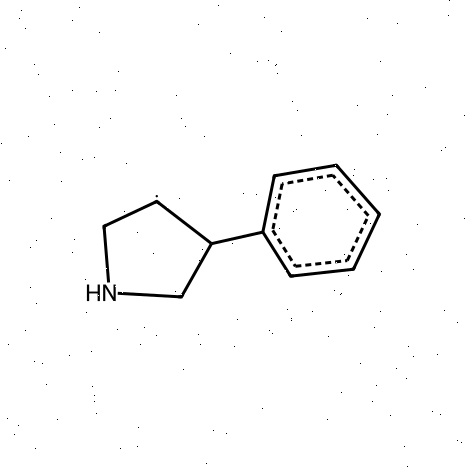 [CH]1CNCC1c1ccccc1